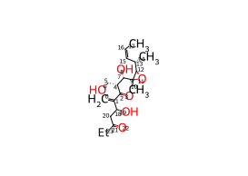 C=C(C(=O)[C@H](CO)[C@H](O)C1(C)O[C@@H]1[C@@H](C)/C=C\C)C(O)CC(=O)CC